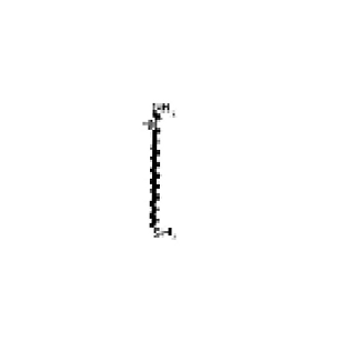 NCCNCCCCCCCCCCCCCCCCCC[SiH3]